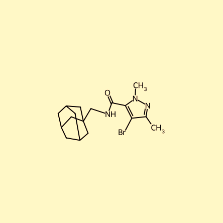 Cc1nn(C)c(C(=O)NCC23CC4CC(CC(C4)C2)C3)c1Br